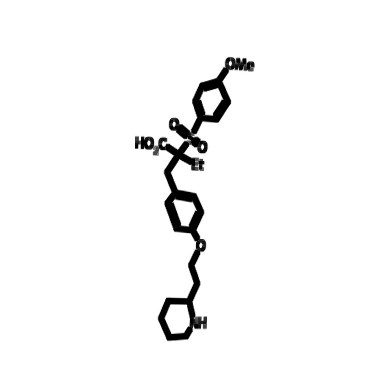 CCC(Cc1ccc(OCCC2CCCCN2)cc1)(C(=O)O)S(=O)(=O)c1ccc(OC)cc1